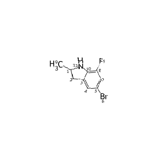 CC1Cc2cc(Br)cc(F)c2N1